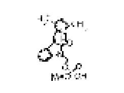 COP(=O)(O)OCN1C(=O)C(=Cc2[nH]c(C)cc2C)c2ccccc21